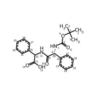 CC(C)(C)OC(=O)N[C@@H](C(=O)NC(C(=O)O)c1ccccc1)c1ccccc1